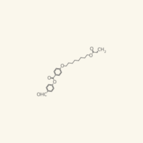 C=CC(=O)OCCCCCCCCOc1ccc(C(=O)Oc2ccc(C=O)cc2)cc1